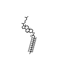 CC(C)CCCC(C)C1CCC2C3CC=C4CC(OC(=O)CC(F)(F)C(F)(F)C(F)(F)C(F)(F)C(F)(F)C(F)(F)C(F)(F)C(F)(F)F)CCC4(C)C3CCC12C